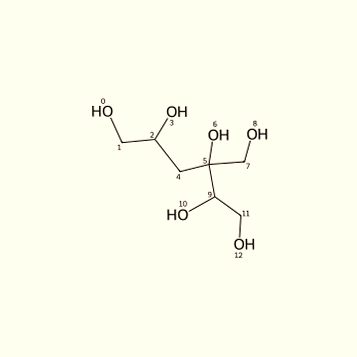 OCC(O)CC(O)(CO)C(O)CO